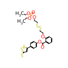 CCOP(=O)(OCC)OCCSSCCOc1ccccc1C(=O)Oc1ccc(-c2cc(=S)ss2)cc1